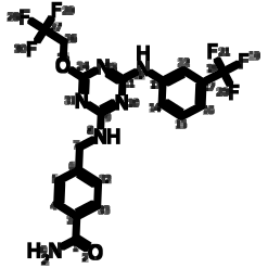 NC(=O)c1ccc(CNc2nc(Nc3cccc(C(F)(F)F)c3)nc(OCC(F)(F)F)n2)cc1